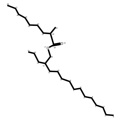 CCCCCCCCCCCCC(CCC)COC(=O)C(C)CCCCCCC